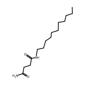 CCCCCCCCCCCNC(=O)CCC(N)=O